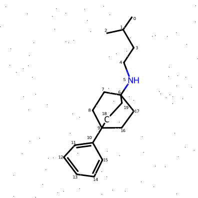 CC(C)CCNC12CCC(c3ccccc3)(CC1)CC2